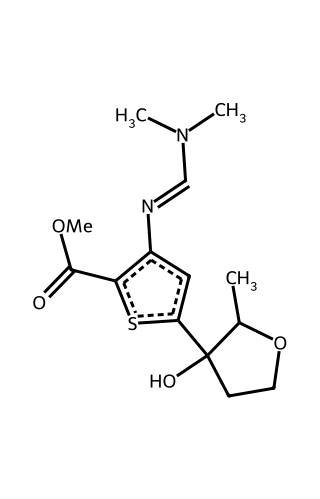 COC(=O)c1sc(C2(O)CCOC2C)cc1N=CN(C)C